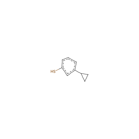 Sc1cccc(C2CC2)c1